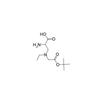 CCN(CC(=O)OC(C)(C)C)CC(N)C(=O)O